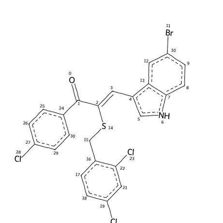 O=C(C(=Cc1c[nH]c2ccc(Br)cc12)SCc1ccc(Cl)cc1Cl)c1ccc(Cl)cc1